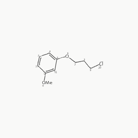 COc1[c]ccc(OCCCCl)c1